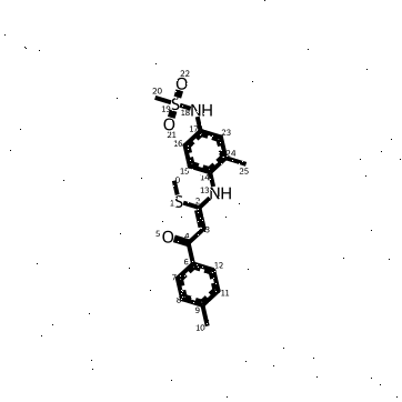 CS/C(=C\C(=O)c1ccc(C)cc1)Nc1ccc(NS(C)(=O)=O)cc1C